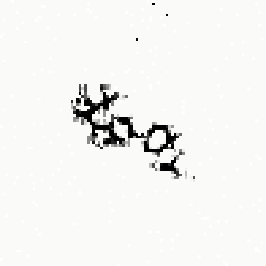 CC1(OC(N)=O)CCN(c2cnc3c(-c4cn[nH]c4C(F)(F)F)n[nH]c3n2)CC1